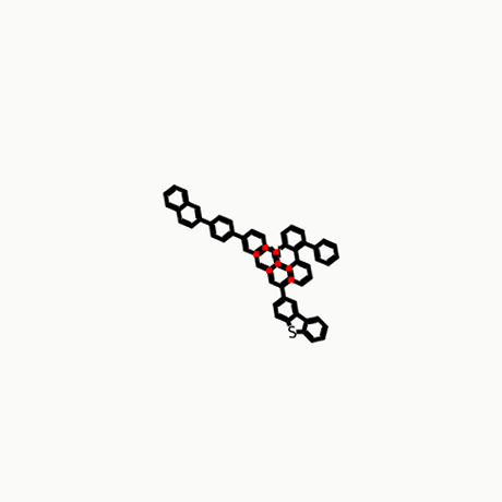 c1ccc(-c2ccccc2-c2c(-c3ccccc3)cccc2N(c2ccc(-c3ccc(-c4ccc5ccccc5c4)cc3)cc2)c2ccc(-c3ccc4sc5ccccc5c4c3)cc2)cc1